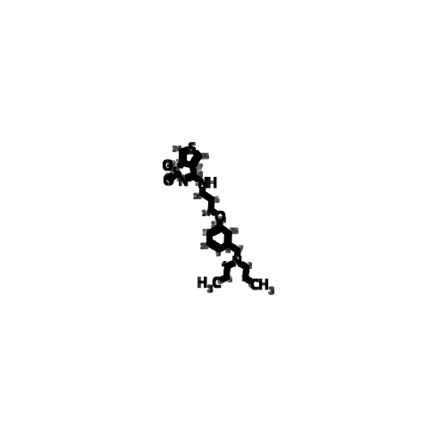 CCCN(CCC)Cc1cccc(OCCCNC2=NS(=O)(=O)c3cscc32)c1